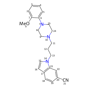 COc1ccccc1N1CCN(CCCn2ccc3ccc(C#N)cc32)CC1